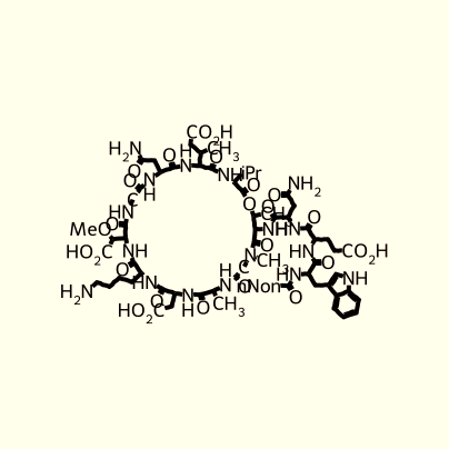 CCCCCCCCCC(=O)NC(Cc1c[nH]c2ccccc12)C(=O)NC(CCC(=O)O)C(=O)NC(CC(N)=O)C(=O)NC1C(=O)N(C)CC(=O)NC(C)C(=O)NC(CC(=O)O)C(=O)NC(CCCCN)C(=O)NC(C(OC)C(=O)O)C(=O)NCC(=O)NC(CC(N)=O)C(=O)NC(C(C)CC(=O)O)C(=O)NC(C(C)C)C(=O)OC1C